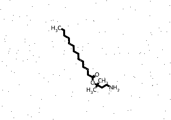 CCCCCCCCCCCCCC(=O)OC(C)(C)CCN